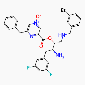 CCc1cccc(CNC[C@@H](OC(=O)c2c[n+]([O-])cc(Cc3ccccc3)n2)[C@@H](N)Cc2cc(F)cc(F)c2)c1